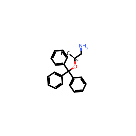 C[C@@H](CN)OC(c1ccccc1)(c1ccccc1)c1ccccc1